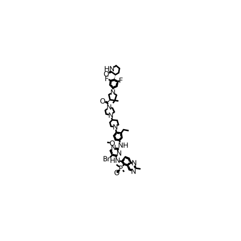 CCc1cc(Nc2ncc(Br)c(Nc3ccc4nc(C)ncc4c3P(C)(C)=O)n2)c(OC)cc1N1CCC(N2CCN(C(=O)[C@H]3CN(c4cc(F)c([C@H]5CCCNC5=O)c(F)c4)CC3(C)C)CC2)CC1